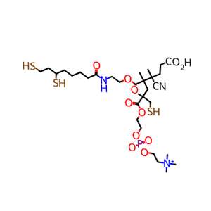 CC(CS)(CC(C)(C(=O)OCCNC(=O)CCCCC(S)CCS)C(C)(C#N)CCC(=O)O)C(=O)OCCOP(=O)([O-])OCC[N+](C)(C)C